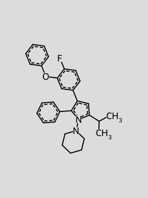 CC(C)c1cc(-c2ccc(F)c(Oc3ccccc3)c2)c(-c2ccccc2)n1N1CCCCC1